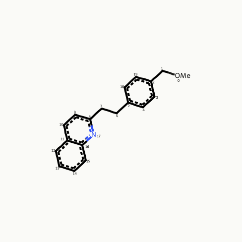 COCc1ccc(CCc2ccc3ccccc3n2)cc1